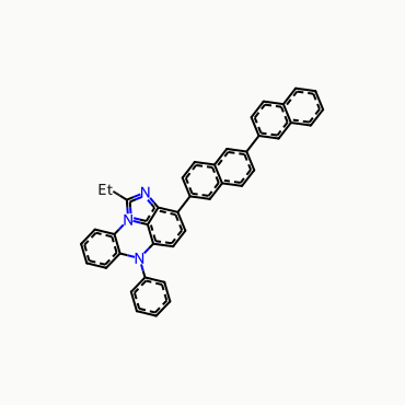 CCc1nc2c(-c3ccc4cc(-c5ccc6ccccc6c5)ccc4c3)ccc3c2n1-c1ccccc1N3c1ccccc1